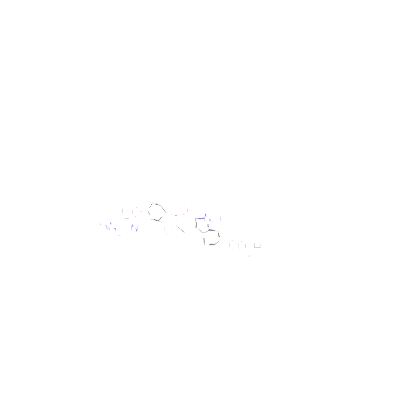 O=C(O)c1ccc2c(C=C3Oc4c(ccc(O)c4CN4CCNCC4)C3=O)c[nH]c2c1